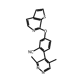 Cc1cnnc(C)c1-c1ccc(Oc2nccc3ccsc23)cc1C#N